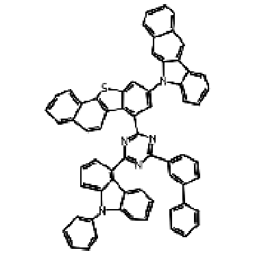 c1ccc(-c2cccc(-c3nc(-c4cc(-n5c6ccccc6c6cc7ccccc7cc65)cc5sc6c7ccccc7ccc6c45)nc(-c4cccc5c4c4ccccc4n5-c4ccccc4)n3)c2)cc1